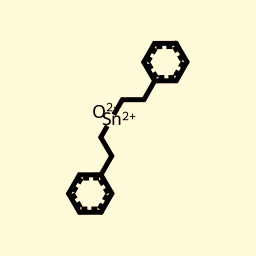 [O-2].c1ccc(C[CH2][Sn+2][CH2]Cc2ccccc2)cc1